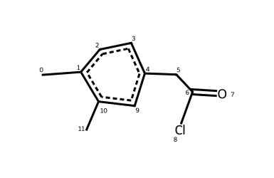 Cc1ccc(CC(=O)Cl)cc1C